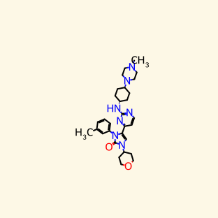 Cc1cccc(-n2c(-c3ccnc(N[C@H]4CC[C@H](N5CCN(C)CC5)CC4)n3)cn(C3CCOCC3)c2=O)c1